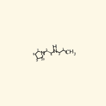 CCCNCCN1CCCC1